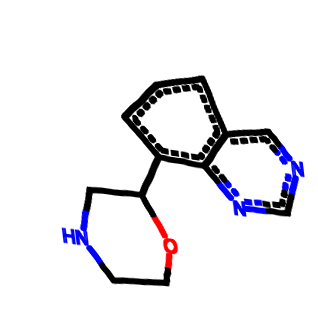 c1cc(C2CNCCO2)c2ncncc2c1